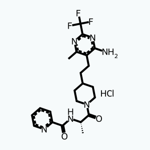 Cc1nc(C(F)(F)F)nc(N)c1CCC1CCN(C(=O)[C@H](C)NC(=O)c2ccccn2)CC1.Cl